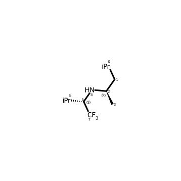 CC(C)C[C@@H](C)N[C@@H](C(C)C)C(F)(F)F